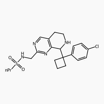 CCCS(=O)(=O)NCc1ncc2c(n1)C(C1(c3ccc(Cl)cc3)CCC1)NCC2